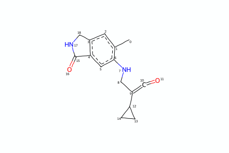 Cc1cc2c(cc1NCC(=C=O)C1CC1)C(=O)NC2